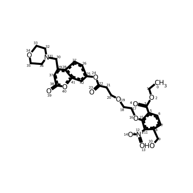 CCOC(=O)c1ccc(CO)c([N+](=O)[O-])c1OCCOCCC(=O)Oc1ccc2c(CN3CCOCC3)cc(=O)oc2c1